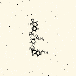 COc1ccc2ncc(F)c(CCN3C[C@H](CNCc4ccc5c(n4)NC(=O)CS5)[C@H](C(N)=O)C3)c2n1